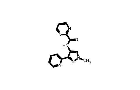 Cn1cc(NC(=O)c2ncccn2)c(-c2ccccn2)n1